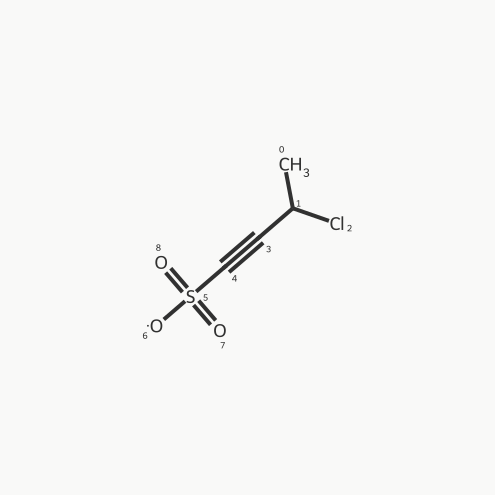 CC(Cl)C#CS([O])(=O)=O